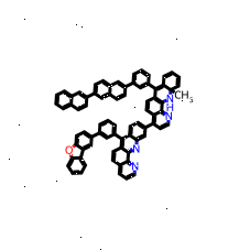 CC12C=CC=CC1=C(c1cccc(-c3ccc4cc(-c5ccc6ccccc6c5)ccc4c3)c1)c1ccc3c(-c4ccc5c(-c6cccc(-c7ccc8oc9ccccc9c8c7)c6)c6ccc7cccnc7c6nc5c4)ccnc3c1N2